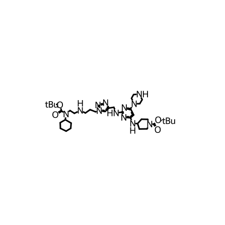 CC(C)(C)OC(=O)N1CCC(Nc2cc(N3CCNCC3)nc(NCc3cn(CCCNCCN(C(=O)OC(C)(C)C)C4CCCCC4)nn3)n2)CC1